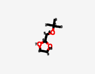 CC(C)(C)OCC1OCCO1